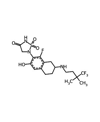 CC(C)(CCNC1CCc2cc(O)c(N3CC(=O)NS3(=O)=O)c(F)c2C1)C(F)(F)F